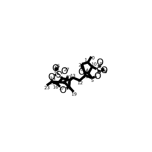 CC1C2OC3C(OS(=O)(=O)C13)C2CCC1C2C3OC1(C)C(C)C3(C)OS2(=O)=O